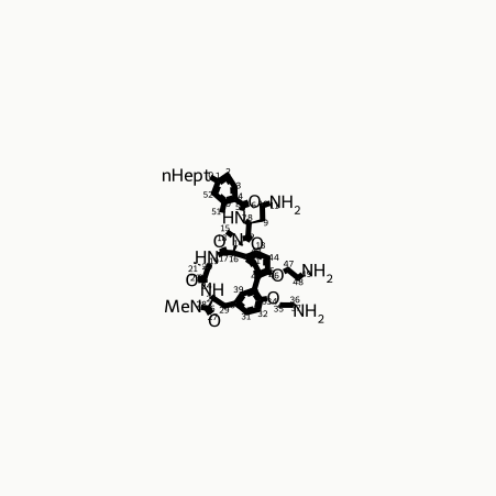 CCCCCCCc1ccc(C(=O)N[C@@H](CCN)C(=O)N(C)[C@@H]2C(=O)N[C@@H](C)C(=O)N[C@H](C(=O)NC)Cc3ccc(OCCN)c(c3)-c3cc2ccc3OCCN)c(C)c1